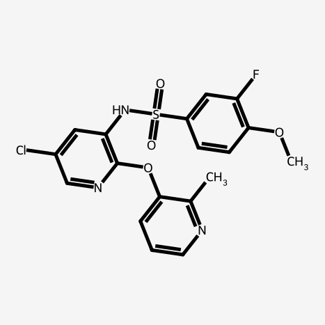 COc1ccc(S(=O)(=O)Nc2cc(Cl)cnc2Oc2cccnc2C)cc1F